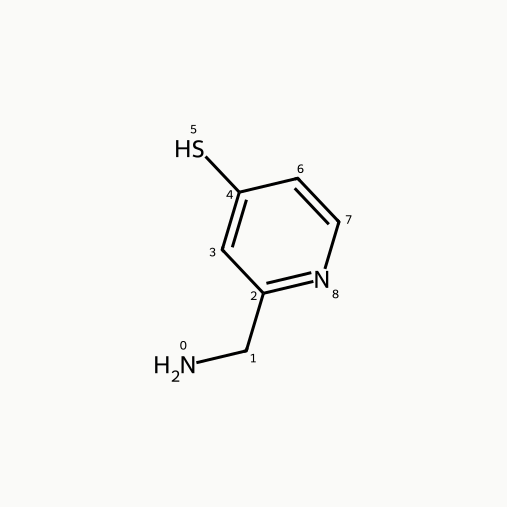 NCc1cc(S)ccn1